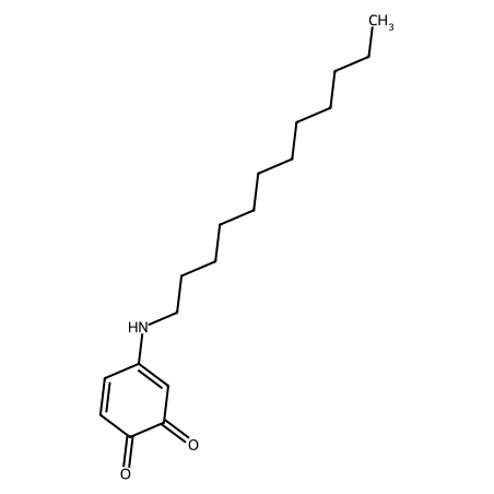 CCCCCCCCCCCCNC1=CC(=O)C(=O)C=C1